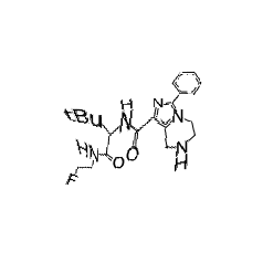 CC(C)(C)C(NC(=O)c1nc(-c2ccccc2)n2c1CNCC2)C(=O)NCCF